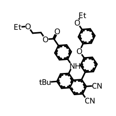 CCOCCOC(=O)c1ccc(Nc2cc(C(C)(C)C)cc3cc(C#N)c(C#N)c(-c4cccc(Oc5cccc(OCC)c5)c4)c23)cc1